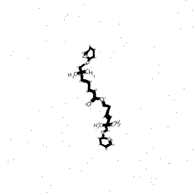 CC(C)(CCCCOC(=O)CCCCC(C)(C)COC1CCCCO1)COC1CCCCO1